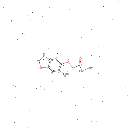 CCCNC(=O)COc1cc2c(cc1C=O)OCO2